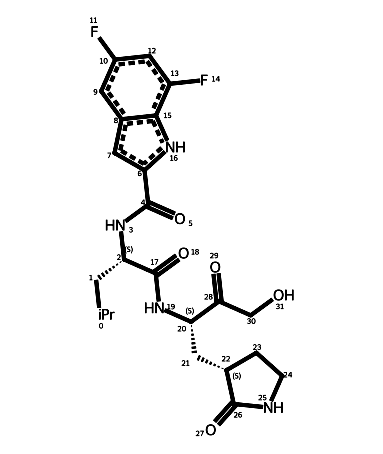 CC(C)C[C@H](NC(=O)c1cc2cc(F)cc(F)c2[nH]1)C(=O)N[C@@H](C[C@@H]1CCNC1=O)C(=O)CO